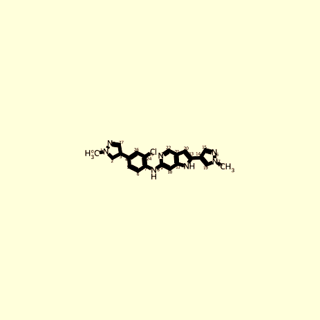 CN1CC(c2ccc(Nc3cc4[nH]c(-c5cnn(C)c5)cc4cn3)c(Cl)c2)C=N1